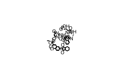 CCOC(=O)/C(Cl)=C/c1cc(N2C(=O)C3=C(CCCC3)C2=O)ccc1Cl.COc1cc(OC)nc(NC(=O)NS(=O)(=O)c2ncccc2C(=O)N(C)C)n1.CP(=O)(O)CCC(N)C(=O)O